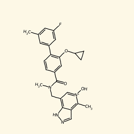 Cc1cc(F)cc(-c2ccc(C(=O)N(C)Cc3c[n+](O)c(C)c4cn[nH]c34)cc2OC2CC2)c1